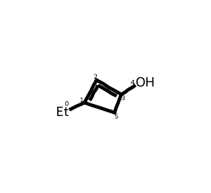 CCC1=C=C(O)C1